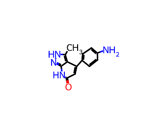 Cc1[nH]nc2[nH]c(=O)cc(-c3ccc(N)cc3)c12